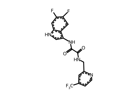 O=C(NCc1cc(C(F)(F)F)ccn1)C(=O)Nc1c[nH]c2cc(F)c(F)cc12